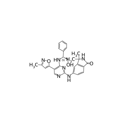 Cc1cc(-c2cnc(Nc3ccc4c(c3)C(C)(C)NC4=O)nc2N[C@H](CO)c2ccccc2)on1